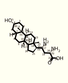 C[C@]12CC[C@@H](O)C[C@H]1CC[C@@H]1[C@@H]2CC[C@]2(C)[C@@H]([C@H](N)C[C@H](N)C(=O)O)CC[C@@H]12